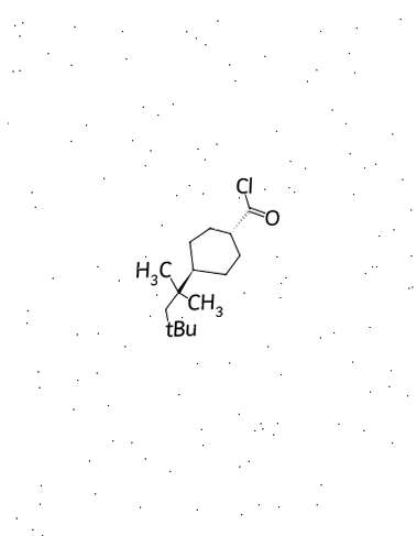 CC(C)(C)CC(C)(C)[C@H]1CC[C@H](C(=O)Cl)CC1